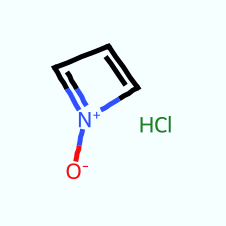 Cl.[O-][N+]1=CC=C1